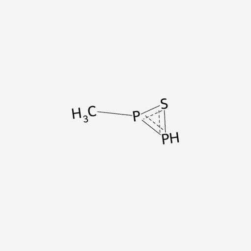 Cp1[pH]s1